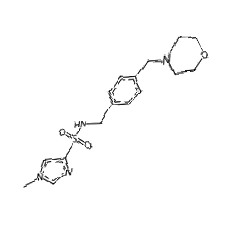 Cn1cnc(S(=O)(=O)NCc2ccc(CN3CCOCC3)cc2)c1